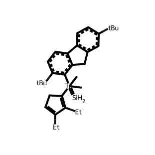 CCC1=CC[C]([Ti]([CH3])([CH3])(=[SiH2])[c]2c(C(C)(C)C)ccc3c2Cc2cc(C(C)(C)C)ccc2-3)=C1CC